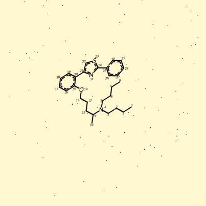 CCCCN(CCCC)C(C)CCCOc1ccccc1-c1csc(-c2ccccc2)n1